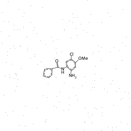 COc1cc(N)c(NC(=O)c2ccccc2)cc1Cl